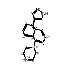 c1cc(-c2cn[nH]c2)c2cnnc(N3CCNCC3)c2c1